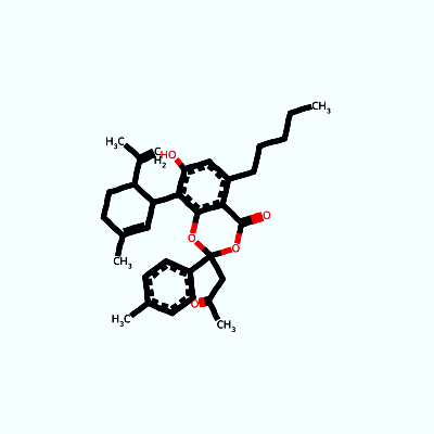 C=C(C)C1CCC(C)=CC1c1c(O)cc(CCCCC)c2c1OC(CC(C)=O)(c1ccc(C)cc1)OC2=O